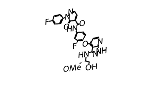 COC[C@@H](CO)Nc1n[nH]c2nccc(Oc3ccc(NC(=O)c4ccnn(-c5ccc(F)cc5)c4=O)cc3F)c12